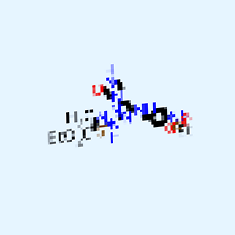 CCOC(=O)c1sc(Nc2nc(NCc3ccc(NS(=O)(=O)CC)cc3)cc(N3CCNC(=O)C3)n2)nc1C